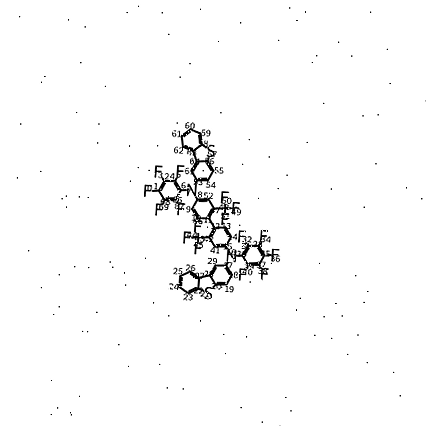 Fc1c(F)c(F)c(N(c2ccc(-c3ccc(N(c4ccc5sc6ccccc6c5c4)c4c(F)c(F)c(F)c(F)c4F)cc3C(F)(F)F)c(C(F)(F)F)c2)c2ccc3sc4ccccc4c3c2)c(F)c1F